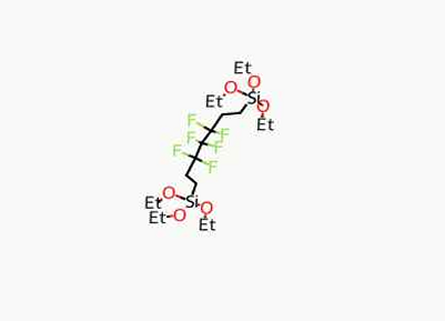 CCO[Si](CCC(F)(F)C(F)(F)C(F)(F)CC[Si](OCC)(OCC)OCC)(OCC)OCC